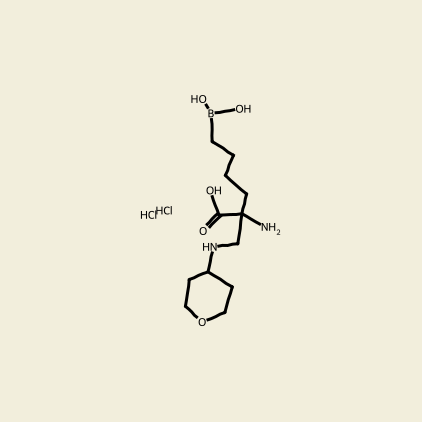 Cl.Cl.NC(CCCCB(O)O)(CNC1CCOCC1)C(=O)O